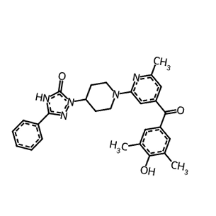 Cc1cc(C(=O)c2cc(C)c(O)c(C)c2)cc(N2CCC(n3nc(-c4ccccc4)[nH]c3=O)CC2)n1